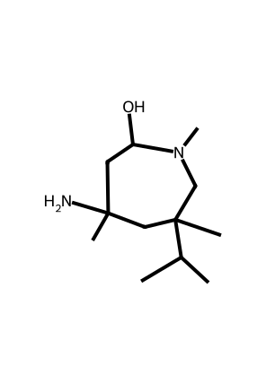 CC(C)C1(C)CN(C)C(O)CC(C)(N)C1